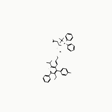 CCc1c(-c2ccccc2)nc(C(C)C)c(/C=C/CO[PH](=O)C[C@H](CC(=O)O)O[Si](c2ccccc2)(c2ccccc2)C(C)(C)C)c1-c1ccc(F)cc1